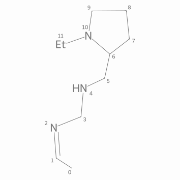 C/C=N\CNCC1CCCN1CC